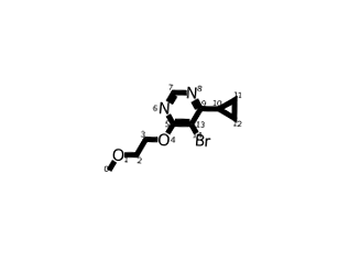 COCCOc1ncnc(C2CC2)c1Br